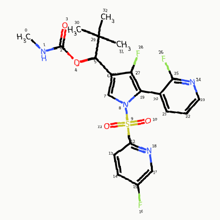 CNC(=O)OC(c1cn(S(=O)(=O)c2ccc(F)cn2)c(-c2cccnc2F)c1F)C(C)(C)C